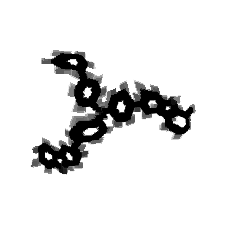 CC1CCCc2c1sc1ccc(-c3ccc(N(c4ccc(-c5ccccc5)cc4)c4ccc(-c5ccc6oc7ccccc7c6c5)cc4)cc3)cc21